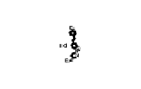 CCOc1ccc(-n2cnc3cc(C=Cc4ccc(CC)cc4)ccc32)nc1.Cl